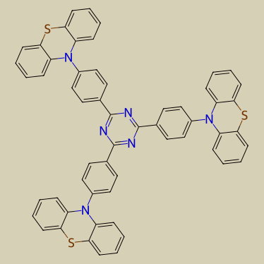 c1ccc2c(c1)Sc1ccccc1N2c1ccc(-c2nc(-c3ccc(N4c5ccccc5Sc5ccccc54)cc3)nc(-c3ccc(N4c5ccccc5Sc5ccccc54)cc3)n2)cc1